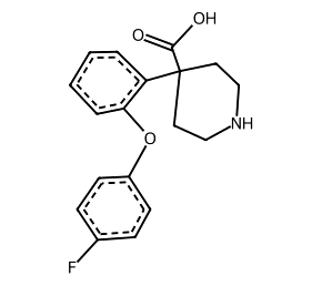 O=C(O)C1(c2ccccc2Oc2ccc(F)cc2)CCNCC1